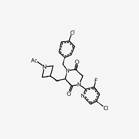 CC(=O)N1CC(CC2C(=O)N(c3ncc(Cl)cc3F)CC(=O)N2Cc2ccc(Cl)cc2)C1